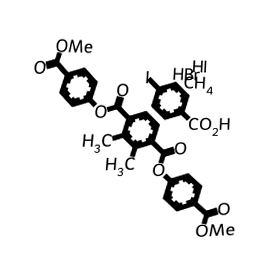 Br.C.COC(=O)c1ccc(OC(=O)c2ccc(C(=O)Oc3ccc(C(=O)OC)cc3)c(C)c2C)cc1.I.O=C(O)c1ccc(I)cc1